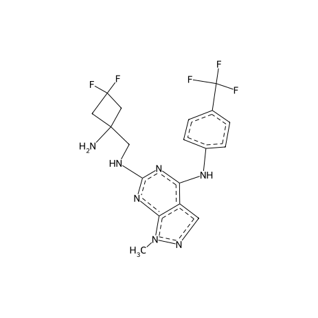 Cn1ncc2c(Nc3ccc(C(F)(F)F)cc3)nc(NCC3(N)CC(F)(F)C3)nc21